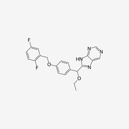 CCOC(c1ccc(OCc2cc(F)ccc2F)cc1)c1nc2cncnc2[nH]1